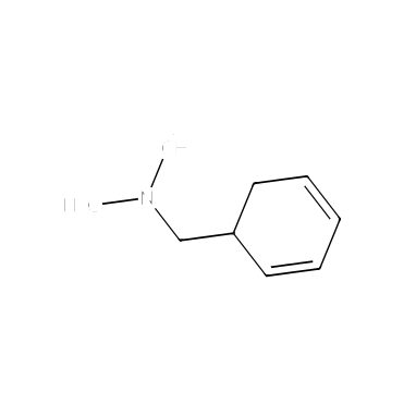 CN(C)CC1[CH]C=CC=C1